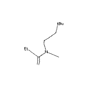 C=C(CC)N(C)CCC(C)(C)C